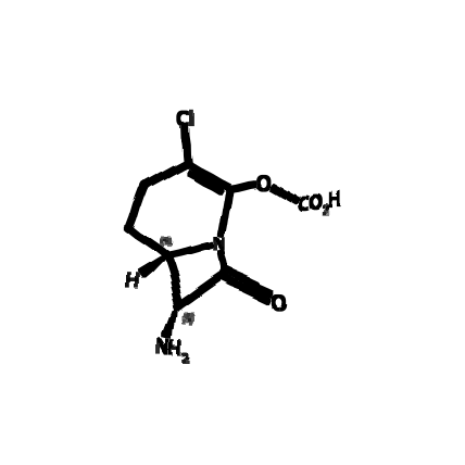 N[C@@H]1C(=O)N2C(OC(=O)O)=C(Cl)CC[C@@H]12